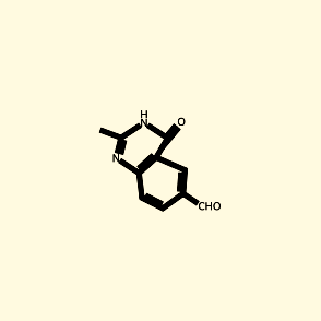 Cc1nc2ccc(C=O)cc2c(=O)[nH]1